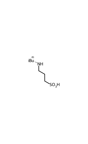 CC[C@@H](C)NCCCS(=O)(=O)O